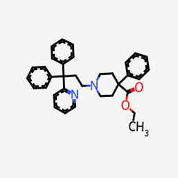 CCOC(=O)C1(c2ccccc2)CCN(CCC(c2ccccc2)(c2ccccc2)c2ccccn2)CC1